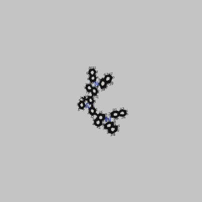 CC1(C)c2ccccc2-n2c3ccc(-c4ccc(N(c5ccc6ccccc6c5)c5ccc6ccccc6c5)c5ccccc45)cc3c3cc(-c4ccc(N(c5ccc6ccccc6c5)c5ccc6ccccc6c5)c5ccccc45)cc1c32